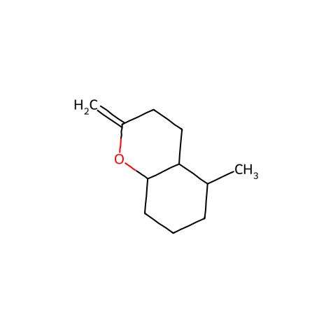 C=C1CCC2C(C)CCCC2O1